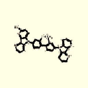 CCC(C)c1ccc2c(n1)c1ncccc1n2-c1ccc(-c2ccc(-n3c4cccnc4c4ncccc43)cc2C)c(C)c1